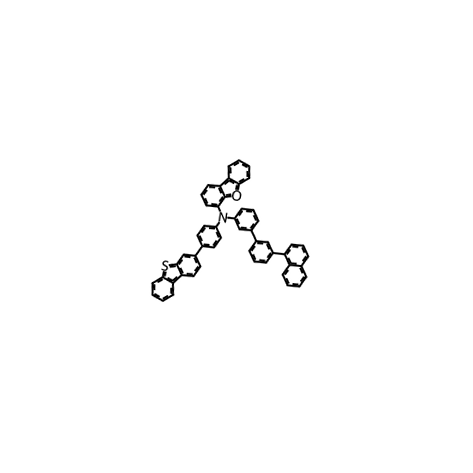 c1cc(-c2cccc(N(c3ccc(-c4ccc5c(c4)sc4ccccc45)cc3)c3cccc4c3oc3ccccc34)c2)cc(-c2cccc3ccccc23)c1